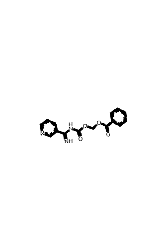 N=C(NC(=O)OCOC(=O)c1ccccc1)c1cc[c]nc1